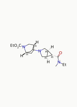 CCOC(=O)N1C[C@@H]2CC[C@H]1CC2N1C[C@@H]2[C@H](C1)[C@H]2C(=O)N(C)CC